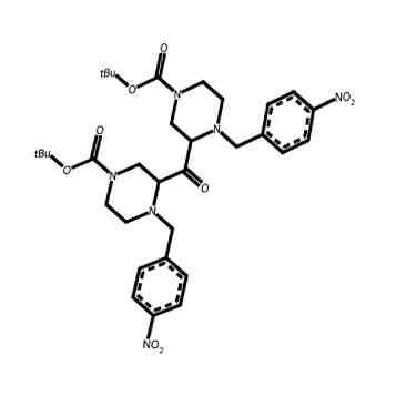 CC(C)(C)OC(=O)N1CCN(Cc2ccc([N+](=O)[O-])cc2)C(C(=O)C2CN(C(=O)OC(C)(C)C)CCN2Cc2ccc([N+](=O)[O-])cc2)C1